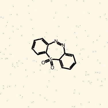 O=S1(=O)c2ccccc2N=Nc2ccccc21